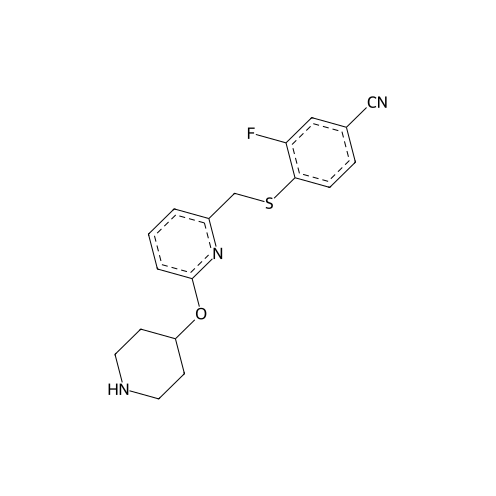 N#Cc1ccc(SCc2cccc(OC3CCNCC3)n2)c(F)c1